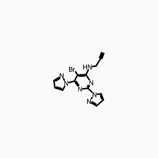 C#CCNc1nc(-n2cccn2)nc(-n2cccn2)c1Br